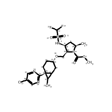 COC(=O)N1[C@H](C)C[C@H](NS(=O)(=O)C(F)F)[C@@H]1CO[C@H]1CC[C@@]2(c3ncc(Cl)cn3)C(C)C2C1